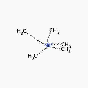 CCCCCCCCCCCCCCCCCCn1c(CCCCCCCCCC)c(CCCCCCCCCC)[n+](CCCCCCCCCC)c1CCCCCCCCCC